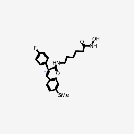 CSc1ccc(/C=C(\C(=O)NCCCCCC(=O)NO)c2ccc(F)cc2)cc1